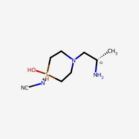 C[C@H](N)CN1CC[SH](O)(=NC#N)CC1